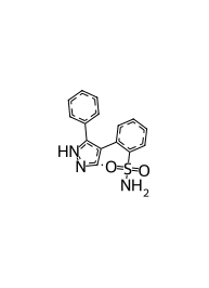 NS(=O)(=O)c1ccccc1-c1[c]n[nH]c1-c1ccccc1